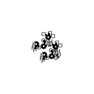 CS(=O)(=O)Nc1ccc(Oc2cccnc2C(F)(F)F)cc1C(=O)Nc1cc(Cl)c(Cl)c(Cl)c1.Nc1ccc(Oc2cccnc2C(F)(F)F)cc1C(=O)Nc1cc(Cl)c(Cl)c(Cl)c1